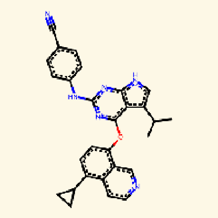 CC(C)c1c[nH]c2nc(Nc3ccc(C#N)cc3)nc(Oc3ccc(C4CC4)c4ccncc34)c12